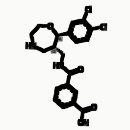 O=C(O)c1cccc(C(=O)NC[C@@H]2CNCCO[C@H]2c2ccc(Cl)c(Cl)c2)c1